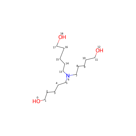 OCCCCCN(CCCCCO)CCCCCO